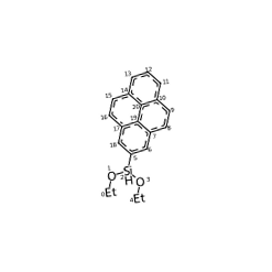 CCO[SiH](OCC)c1cc2ccc3cccc4ccc(c1)c2c34